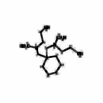 O=C(O)N(CCO)CC1(CN(CCO)C(=O)O)CCCCC1